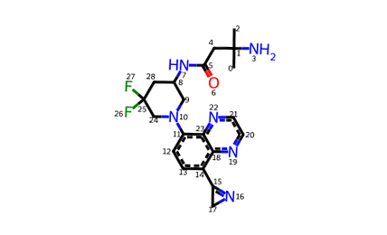 CC(C)(N)CC(=O)NC1CN(c2ccc(C3=NC3)c3nccnc23)CC(F)(F)C1